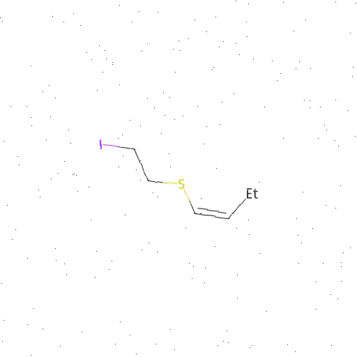 CC/C=C\SCCI